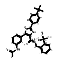 CC(=O)Nc1cccc(-c2oc(-c3ccc(C(C)(C)C)cc3)nc2C(=O)NCc2ccccc2C(F)(F)F)c1